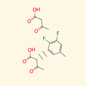 CC.CC.CC(=O)CC(=O)O.CC(=O)CC(=O)O.Cc1ccc(F)c(F)c1